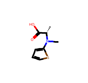 C[C@@H](C(=O)O)N(C)c1cccs1